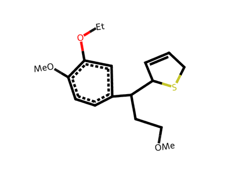 CCOc1cc(C(CCOC)C2C=CCS2)ccc1OC